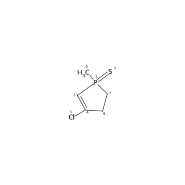 CP1(=S)C=C(Cl)CC1